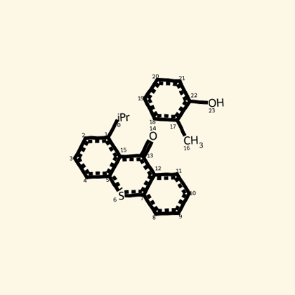 CC(C)c1cccc2sc3ccccc3c(=O)c12.Cc1ccccc1O